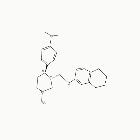 CCCCN1CC[C@@H](c2ccc(N(C)C)cc2)[C@H](COc2ccc3c(c2)CCCC3)C1